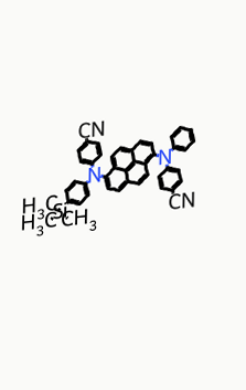 C[Si](C)(C)c1ccc(N(c2ccc(C#N)cc2)c2ccc3ccc4c(N(c5ccccc5)c5ccc(C#N)cc5)ccc5ccc2c3c54)cc1